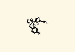 CCN(Cc1ccc(F)cc1)S(=O)(=O)c1cnc(C#N)s1